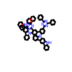 C1=CC2c3cc4c5ccccc5n(-c5ccccc5)c4cc3N(c3ccc(-c4cc(-c5nc(-c6ccccc6)nc(-c6ccccc6)n5)ccc4-n4c5ccccc5c5cc6c(cc54)[nH]c4ccccc46)cc3-c3nc(-c4ccccc4)nc(-c4ccccc4)n3)C2C=C1